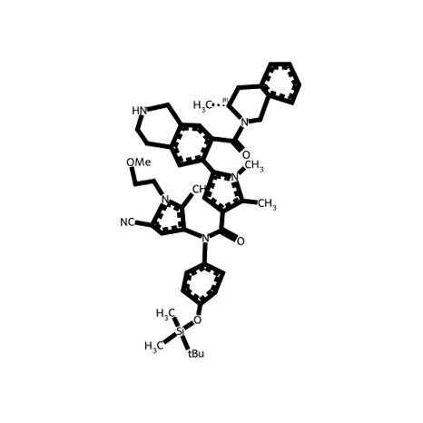 COCCn1c(C#N)cc(N(C(=O)c2cc(-c3cc4c(cc3C(=O)N3Cc5ccccc5C[C@H]3C)CNCC4)n(C)c2C)c2ccc(O[Si](C)(C)C(C)(C)C)cc2)c1C